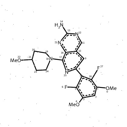 COc1cc(OC)c(F)c(-c2cc3cnc(N)nc3c(N3CCC(OC)CC3)n2)c1F